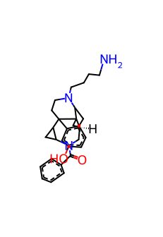 NCCCCN1CCC23c4cc(O)ccc4CC1C21C[C@@H]1CN(C(=O)c1ccccc1)C1CC13